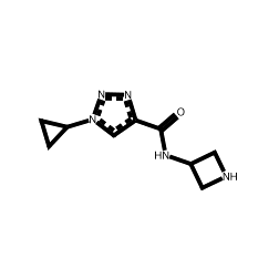 O=C(NC1CNC1)c1cn(C2CC2)nn1